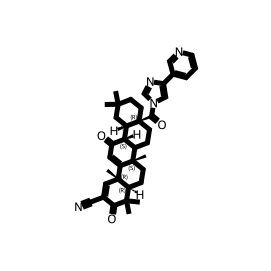 CC1(C)CC[C@]2(C(=O)n3cnc(-c4cccnc4)c3)CCC3[C@H](C(=O)C=C4[C@@]3(C)CC[C@H]3C(C)(C)C(=O)C(C#N)=C[C@]43C)[C@@H]2C1